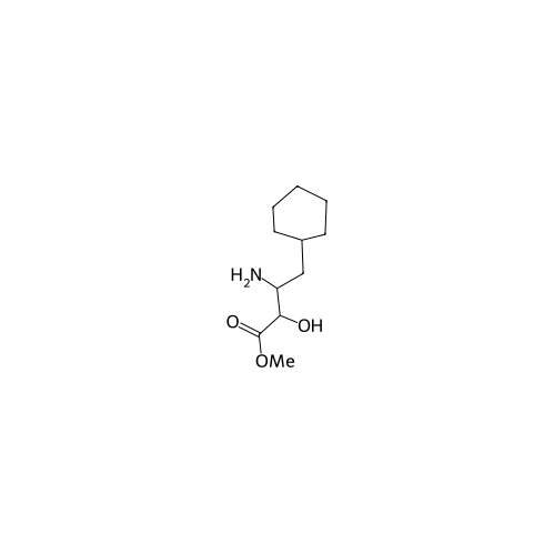 COC(=O)C(O)C(N)CC1CCCCC1